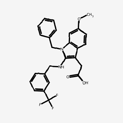 COc1ccc2c(CC(=O)O)c(NCc3cccc(C(F)(F)F)c3)n(Cc3ccccc3)c2c1